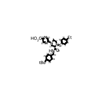 CCc1ccc(SN2CCN(c3cnc(C(=O)O)cn3)C[C@@H]2C(=O)NCc2ccc(C(C)(C)C)cc2)cc1